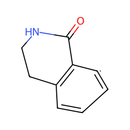 O=C1NCCc2ccc[c]c21